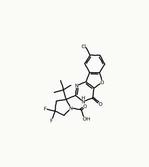 CC(C)(C)C1(c2nc3c(oc4ccc(Cl)cc43)c(=O)[nH]2)CC(F)(F)CN1C(=O)O